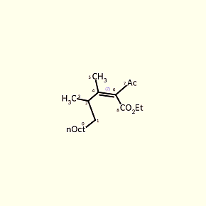 CCCCCCCCCC(C)/C(C)=C(/C(C)=O)C(=O)OCC